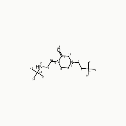 CC(C)(C)CCN1CCN(CCNC(C)(C)C)C(=O)C1